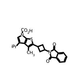 Cc1c(C2CC(N3C(=O)c4ccccc4C3=O)C2)sc2c1c(C(C)C)cn2C(=O)O